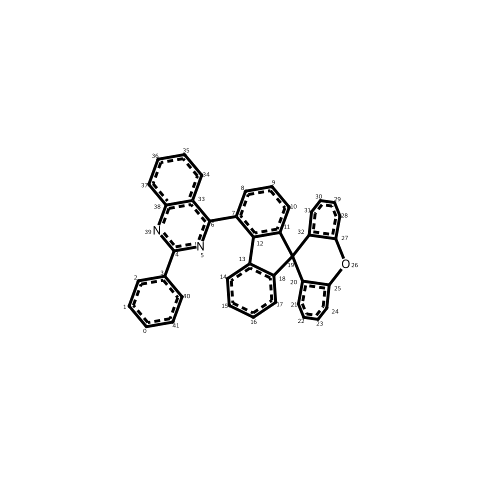 c1ccc(-c2nc(-c3cccc4c3-c3ccccc3C43c4ccccc4Oc4ccccc43)c3ccccc3n2)cc1